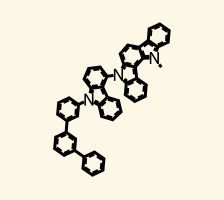 Cn1c2ccccc2c2ccc3c(c4ccccc4n3-c3cccc4c3c3ccccc3n4-c3cccc(-c4cccc(-c5ccccc5)c4)c3)c21